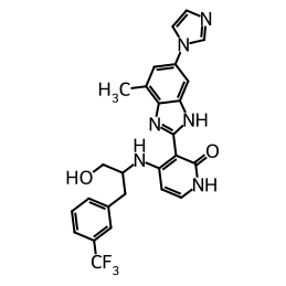 Cc1cc(-n2ccnc2)cc2[nH]c(-c3c(NC(CO)Cc4cccc(C(F)(F)F)c4)cc[nH]c3=O)nc12